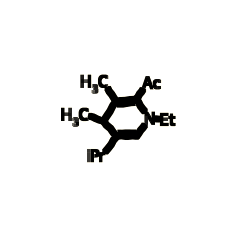 CCN1C=C(C(C)C)C(C)C(C)=C1C(C)=O